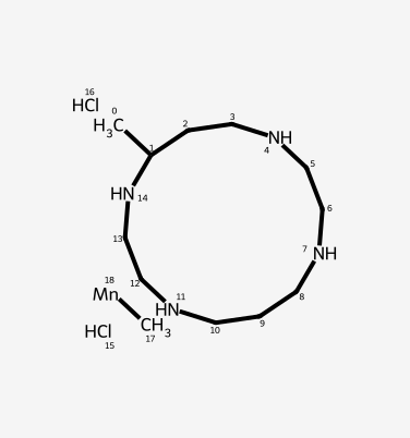 CC1CCNCCNCCCNCCN1.Cl.Cl.[CH3][Mn]